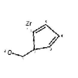 [O]CC1C=CC=C1.[Zr]